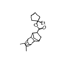 CCC1(OC(=O)C2CC3CC2C2C4OC(C(C)C4C)C32)CCCC1